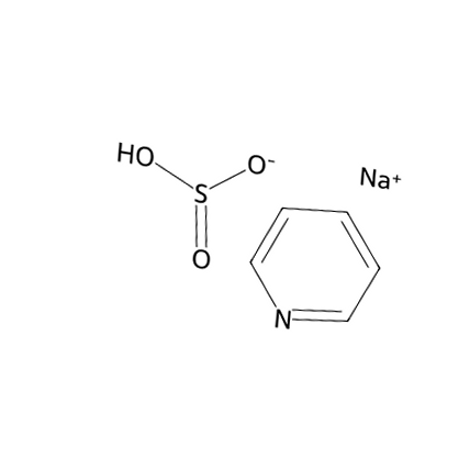 O=S([O-])O.[Na+].c1ccncc1